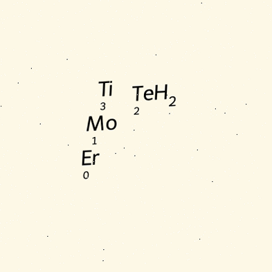 [Er].[Mo].[TeH2].[Ti]